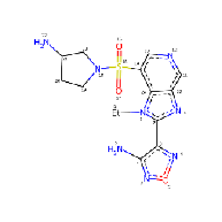 CCn1c(-c2nonc2N)nc2cncc(S(=O)(=O)N3CCC(N)C3)c21